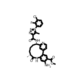 COC(=O)c1cc2c(cc1N)NC(=O)[C@H](C)CCC[C@H](NC(=O)c1nnn(-c3cccc(Cl)c3F)c1C)c1cc-2ccn1